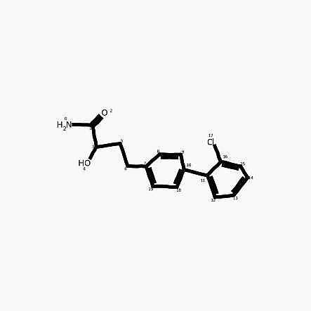 NC(=O)C(O)CCc1ccc(-c2ccccc2Cl)cc1